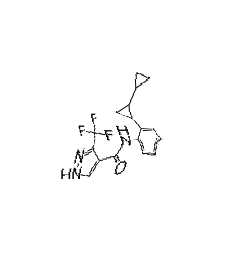 O=C(Nc1ccccc1C1CC1C1CC1)c1c[nH]nc1C(F)(F)F